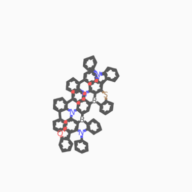 c1ccc(-c2ccccc2N2c3cc4c(cc3B3c5ccccc5Sc5c3c2cc2c5c3ccccc3n2-c2ccccc2)B2c3ccccc3N(c3ccccc3)c3c2c(cc2oc5ccccc5c32)N4c2c(-c3ccccc3)cccc2-c2ccccc2)cc1